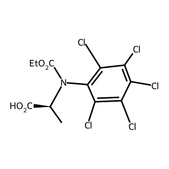 CCOC(=O)N(c1c(Cl)c(Cl)c(Cl)c(Cl)c1Cl)[C@@H](C)C(=O)O